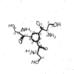 N[C@@H](CO)C(=O)c1cc(C(=O)[C@@H](N)CO)cc(C(=O)[C@@H](N)CO)c1